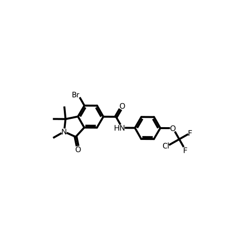 CN1C(=O)c2cc(C(=O)Nc3ccc(OC(F)(F)Cl)cc3)cc(Br)c2C1(C)C